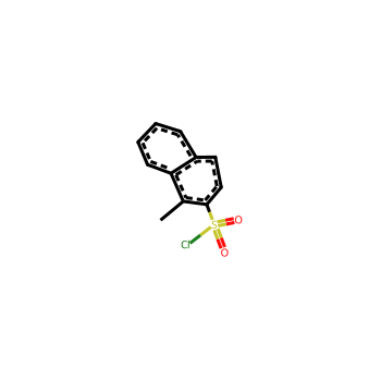 Cc1c(S(=O)(=O)Cl)ccc2ccccc12